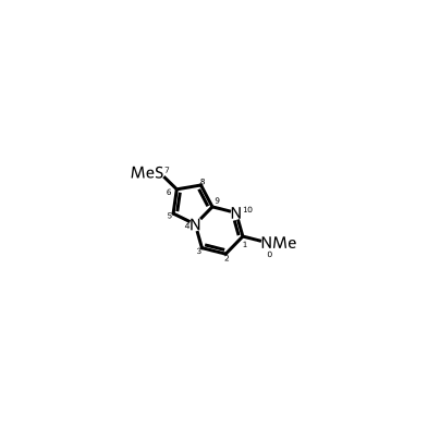 CNc1ccn2cc(SC)cc2n1